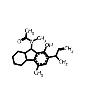 C=CC(C)c1cc(C)c2c(c1O)C(N(C)C(C)=O)C1CCCCC21